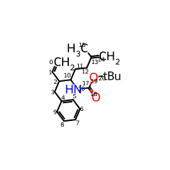 C=CC(Cc1ccccc1)C(CCC(=C)C)NC(=O)OC(C)(C)C